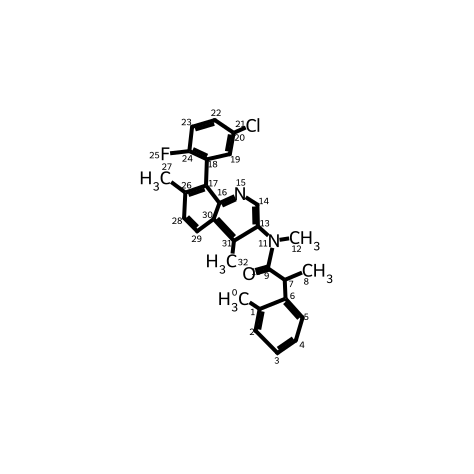 Cc1ccccc1C(C)C(=O)N(C)c1cnc2c(-c3cc(Cl)ccc3F)c(C)ccc2c1C